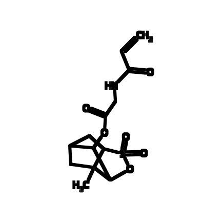 C=CC(=O)NCC(=O)OC1C2CC3C(C)(C2)C1OS3(=O)=O